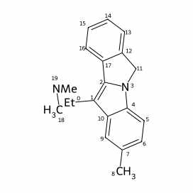 CCc1c2n(c3ccc(C)cc13)Cc1ccccc1-2.CNC